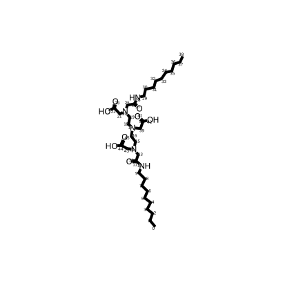 CCCCCCCCCCNC(=O)CN(CCN(CCN(CC(=O)O)CC(=O)NCCCCCCCCCC)CC(=O)O)CC(=O)O